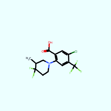 CC1CN(c2cc(C(F)(F)F)c(Cl)cc2C(=O)O)CCC1(F)F